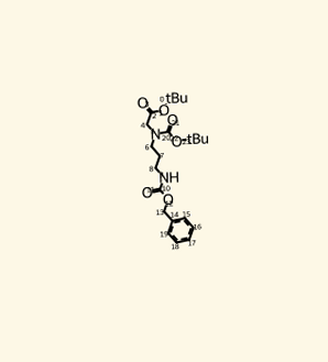 CC(C)(C)OC(=O)CN(CCCNC(=O)OCc1ccccc1)C(=O)OC(C)(C)C